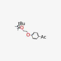 CC(=O)c1ccc(OCCO[Si](C)(C)C(C)(C)C)cc1